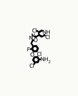 Nc1cc(Cl)cc(Oc2c(Cl)ccc(Cc3nnc(C4=CC(Cl)NC=C4Cl)o3)c2F)c1